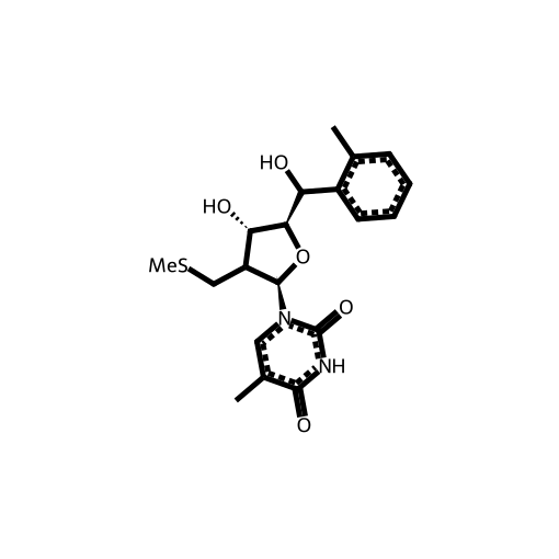 CSCC1[C@H](n2cc(C)c(=O)[nH]c2=O)O[C@H](C(O)c2ccccc2C)[C@H]1O